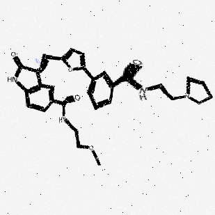 COCCNC(=O)c1ccc2c(c1)/C(=C\c1ccc(-c3cccc(C(=O)NCCN4CCCC4)c3)o1)C(=O)N2